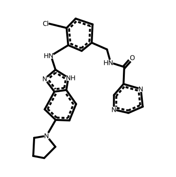 O=C(NCc1ccc(Cl)c(Nc2nc3cc(N4CCCC4)ccc3[nH]2)c1)c1cnccn1